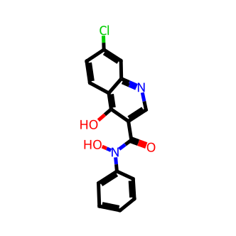 O=C(c1cnc2cc(Cl)ccc2c1O)N(O)c1ccccc1